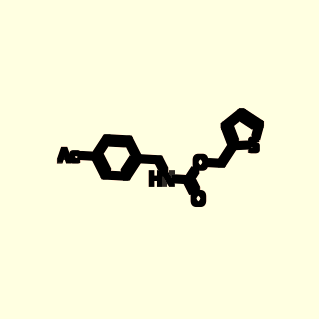 CC(=O)c1ccc(CNC(=O)OCc2cccs2)cc1